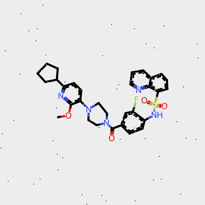 COc1nc(C2CCCC2)ccc1N1CCN(C(=O)c2ccc(NS(=O)(=O)c3cccc4cccnc34)c(F)c2)CC1